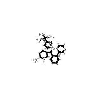 C[C@@H]1CC[C@](C(=O)c2ccccc2-c2cnccn2)(c2cc(C(C)(C)O)no2)CN1